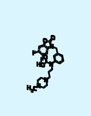 CN1CCN(CCCN(C(=O)O)c2cccc(Cn3c(=O)oc4cc(F)c(F)cc43)c2)CC1